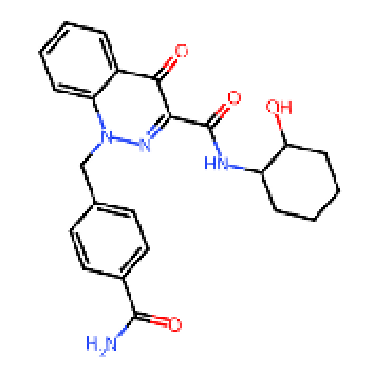 NC(=O)c1ccc(Cn2nc(C(=O)NC3CCCCC3O)c(=O)c3ccccc32)cc1